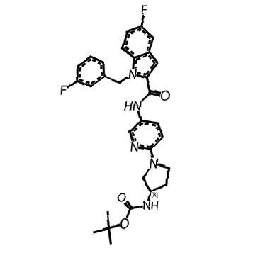 CC(C)(C)OC(=O)N[C@@H]1CCN(c2ccc(NC(=O)c3cc4cc(F)ccc4n3Cc3cccc(F)c3)cn2)C1